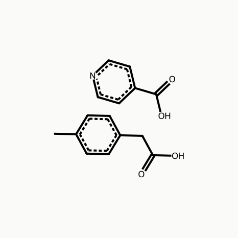 Cc1ccc(CC(=O)O)cc1.O=C(O)c1ccncc1